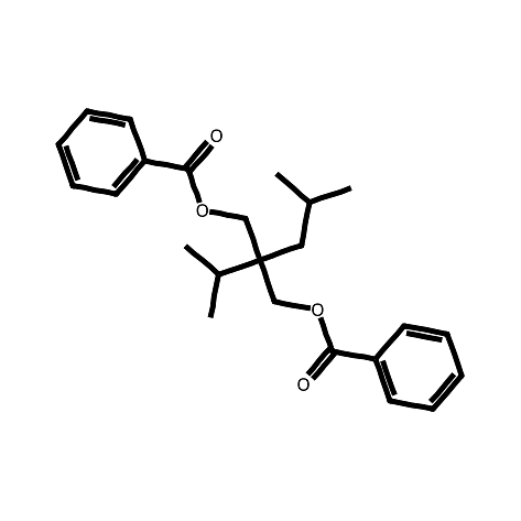 CC(C)CC(COC(=O)c1ccccc1)(COC(=O)c1ccccc1)C(C)C